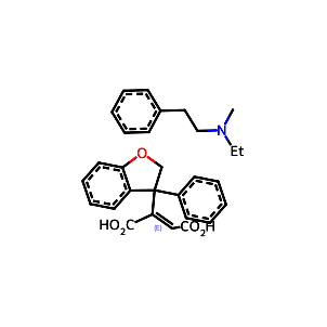 CCN(C)CCc1ccccc1.O=C(O)/C=C(/C(=O)O)C1(c2ccccc2)COc2ccccc21